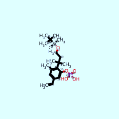 C=Cc1cc(C)c(C(C)(C)CCO[Si](C)(C)C(C)(C)C)c(OP(=O)(O)O)c1